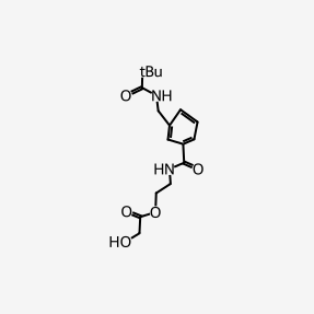 CC(C)(C)C(=O)NCc1cccc(C(=O)NCCOC(=O)CO)c1